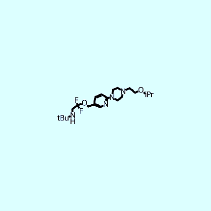 CC(C)OCCN1CCN(c2ccc(COC(F)(F)CNC(C)(C)C)cn2)CC1